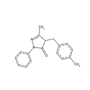 CC1=NN(c2ccccc2)C(=O)C1Cc1ccc(C)cc1